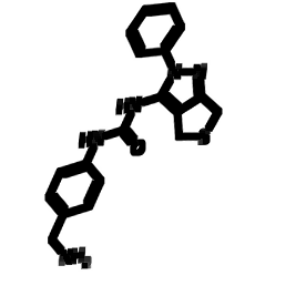 NCc1ccc(NC(=O)Nc2c3c(nn2-c2ccccc2)CSC3)cc1